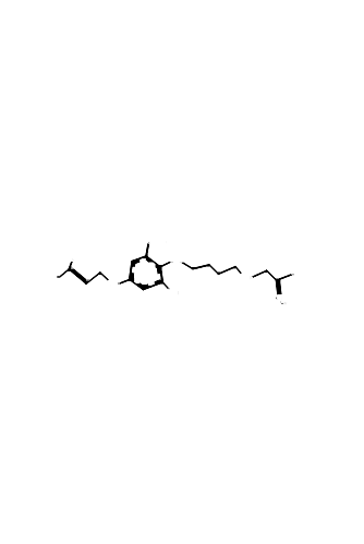 CCc1cc(OCC=C(Cl)Cl)cc(C)c1OCCCCOCC(C)=NO